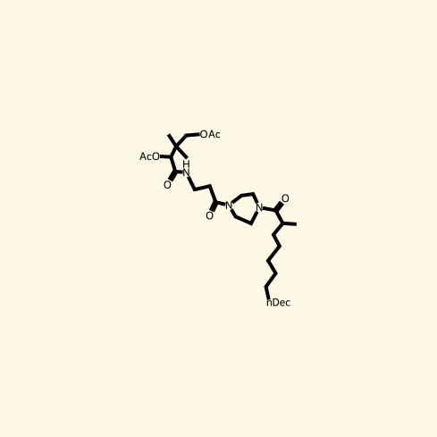 CCCCCCCCCCCCCCCC(C)C(=O)N1CCN(C(=O)CCNC(=O)C(OC(C)=O)C(C)(C)COC(C)=O)CC1